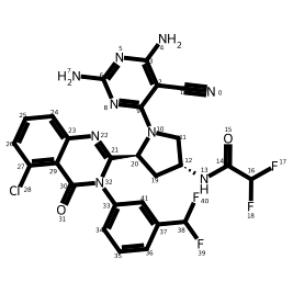 N#Cc1c(N)nc(N)nc1N1C[C@H](NC(=O)C(F)F)C[C@H]1c1nc2cccc(Cl)c2c(=O)n1-c1cccc(C(F)F)c1